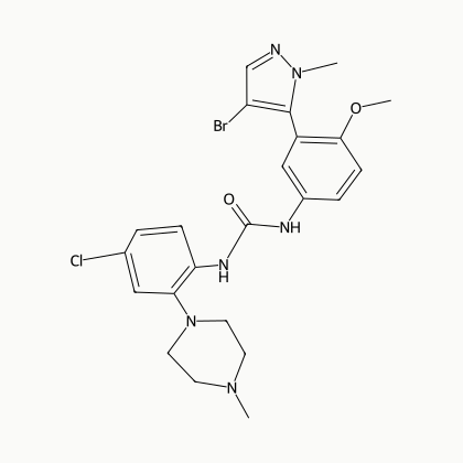 COc1ccc(NC(=O)Nc2ccc(Cl)cc2N2CCN(C)CC2)cc1-c1c(Br)cnn1C